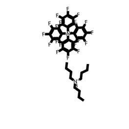 CCCC[NH+](CCCC)CCCC.Fc1c(F)c(F)[c]([Al-]([c]2c(F)c(F)c(F)c(F)c2F)([c]2c(F)c(F)c(F)c(F)c2F)[c]2c(F)c(F)c(F)c(F)c2F)c(F)c1F